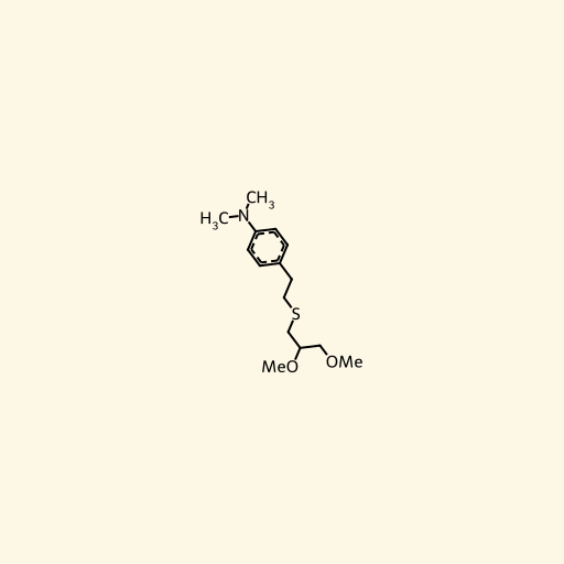 COCC(CSCCc1ccc(N(C)C)cc1)OC